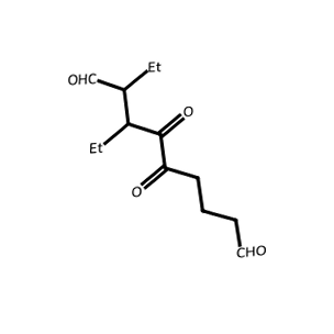 CCC(C=O)C(CC)C(=O)C(=O)CCCC=O